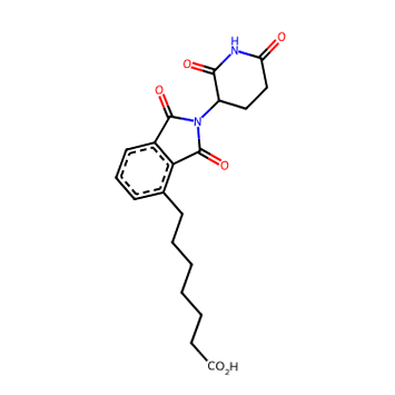 O=C(O)CCCCCCc1cccc2c1C(=O)N(C1CCC(=O)NC1=O)C2=O